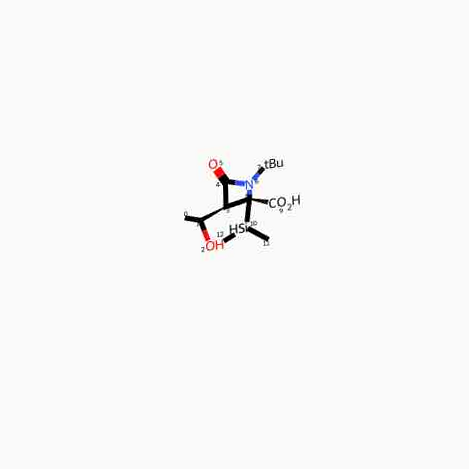 CC(O)[C@H]1C(=O)N(C(C)(C)C)[C@]1(C(=O)O)[SiH](C)C